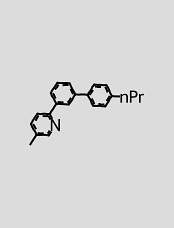 CCCc1ccc(-c2cccc(-c3ccc(C)cn3)c2)cc1